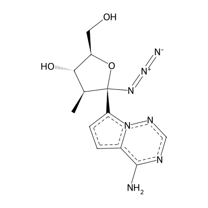 C[C@H]1[C@H](O)[C@@H](CO)O[C@@]1(N=[N+]=[N-])c1ccc2c(N)ncnn12